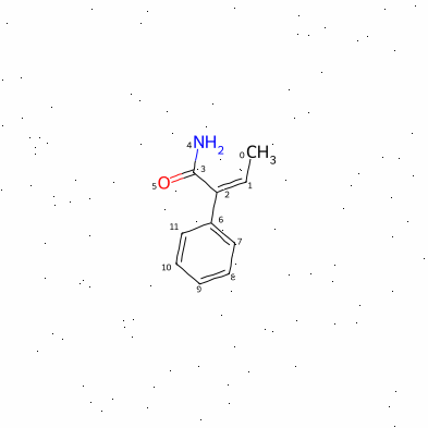 CC=C(C(N)=O)c1ccccc1